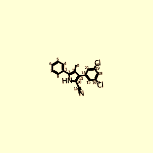 Cc1c(-c2ccccc2)[nH]c(C#N)c1-c1cc(Cl)cc(Cl)c1